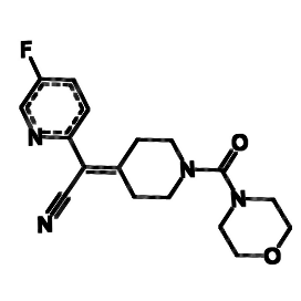 N#CC(=C1CCN(C(=O)N2CCOCC2)CC1)c1ccc(F)cn1